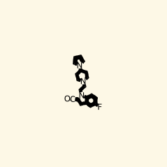 O=C=C1Cc2cc(F)ccc2N1CCN1CCC(n2cccc2)CC1